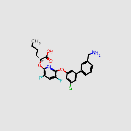 CCCC[C@@H](Oc1nc(Oc2cc(Cl)cc(-c3cccc(CN)c3)c2)c(F)cc1F)C(=O)O